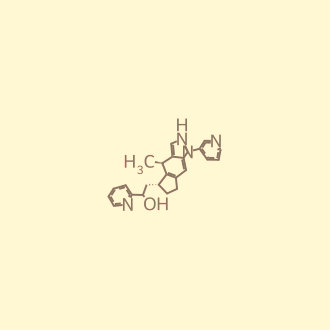 C[C@H]1C2=CNN(c3cccnc3)C2=CC2=C1[C@@H](CC(O)c1ccccn1)CC2